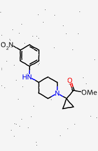 COC(=O)C1(N2CCC(Nc3cccc([N+](=O)[O-])c3)CC2)CC1